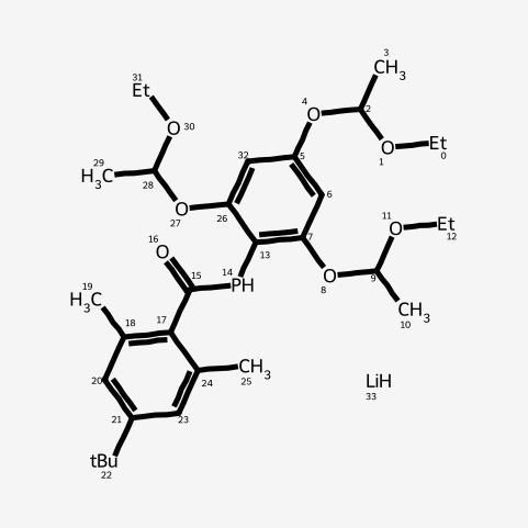 CCOC(C)Oc1cc(OC(C)OCC)c(PC(=O)c2c(C)cc(C(C)(C)C)cc2C)c(OC(C)OCC)c1.[LiH]